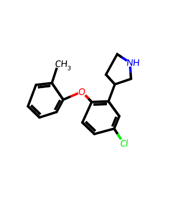 Cc1ccccc1Oc1ccc(Cl)cc1C1CCNC1